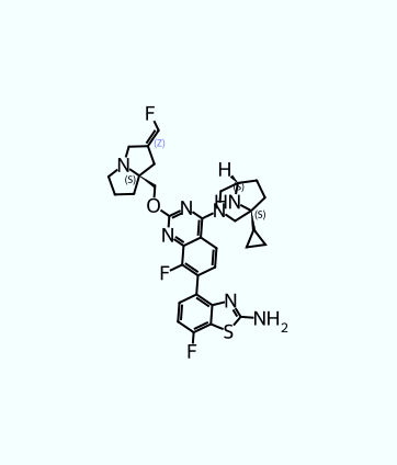 Nc1nc2c(-c3ccc4c(N5C[C@@H]6CC[C@](C7CC7)(C5)N6)nc(OC[C@@]56CCCN5C/C(=C\F)C6)nc4c3F)ccc(F)c2s1